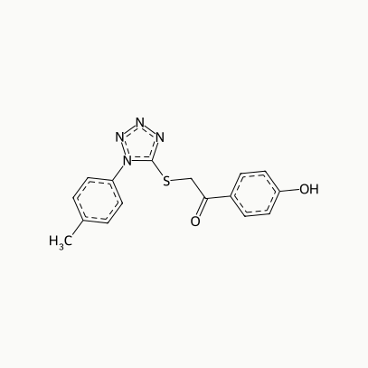 Cc1ccc(-n2nnnc2SCC(=O)c2ccc(O)cc2)cc1